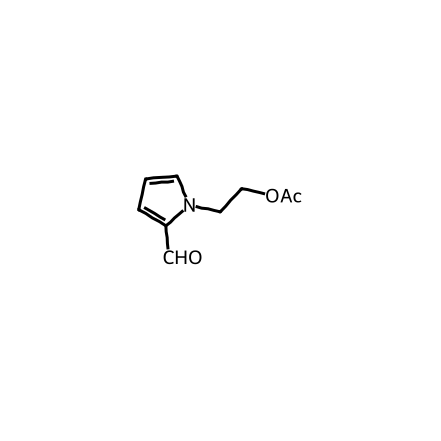 CC(=O)OCCn1cccc1C=O